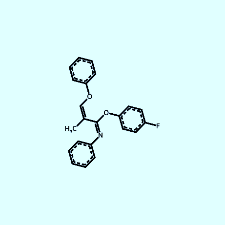 CC(=COc1ccccc1)C(=Nc1ccccc1)Oc1ccc(F)cc1